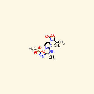 CC(C)C1COC(=O)N1c1ccnc(N[C@@H](C)c2nnc(S(C)(=O)=O)o2)n1